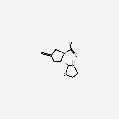 C=C1C[C@@H](C2NCCO2)N(C(=O)O)C1